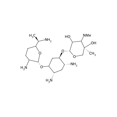 CNC1C(O)[C@@H](O[C@@H]2CC(O[C@H]3OC([C@@H](C)N)CCC3N)[C@@H](N)C[C@H]2N)OC[C@]1(C)O